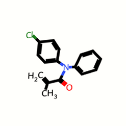 C=C(C)C(=O)N(c1ccccc1)c1ccc(Cl)cc1